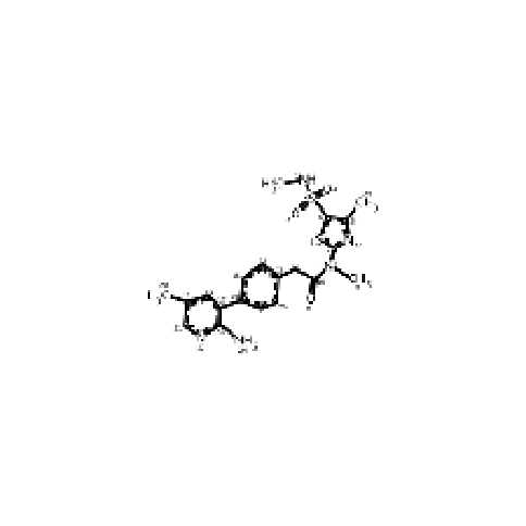 CNS(=O)(=O)c1sc(N(C)C(=O)Cc2ccc(-c3cc(C)cnc3N)cc2)nc1C